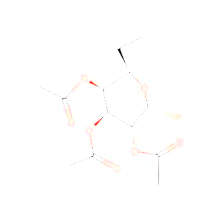 CC[C@H]1O[C@H](Br)[C@H](OC(C)=O)[C@@H](OC(C)=O)[C@H]1OC(C)=O